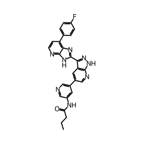 CCCC(=O)Nc1cncc(-c2cnc3[nH]nc(-c4nc5c(-c6ccc(F)cc6)ccnc5[nH]4)c3c2)c1